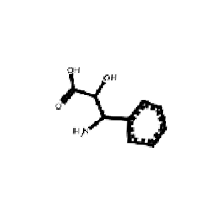 NC(c1ccccc1)C(O)C(=O)O